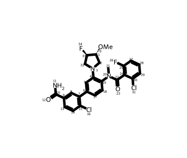 CO[C@@H]1CN(c2cc(-c3cc(C(N)=O)ccc3Cl)ccc2N(C)C(=O)c2c(F)cccc2Cl)C[C@H]1F